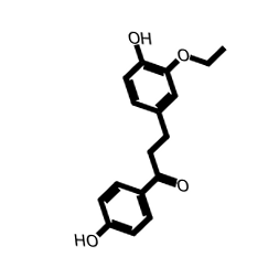 CCOc1cc(CCC(=O)c2ccc(O)cc2)ccc1O